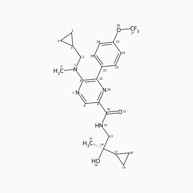 CN(CC1CC1)c1ncc(C(=O)NC[C@](C)(O)C2CC2)nc1-c1ccc(OC(F)(F)F)cc1